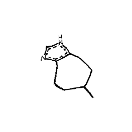 CC1CCc2nc[nH]c2CC1